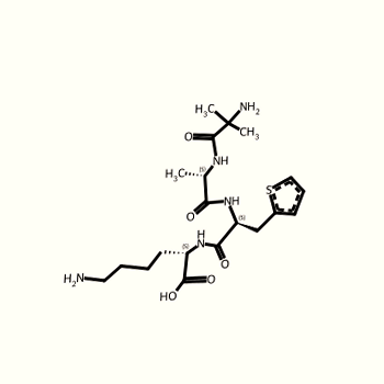 C[C@H](NC(=O)C(C)(C)N)C(=O)N[C@@H](Cc1cccs1)C(=O)N[C@@H](CCCCN)C(=O)O